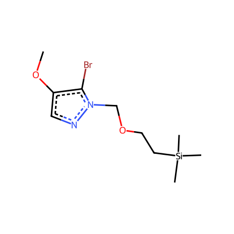 COc1cnn(COCC[Si](C)(C)C)c1Br